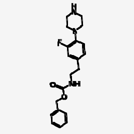 O=C(NCCc1ccc(N2CCNCC2)c(F)c1)OCc1ccccc1